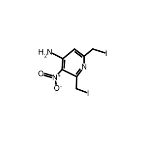 Nc1cc(CI)nc(CI)c1[N+](=O)[O-]